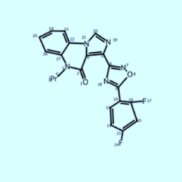 CC(C)n1c(=O)c2c(-c3noc(-c4ccc(F)cc4F)n3)ncn2c2ccccc21